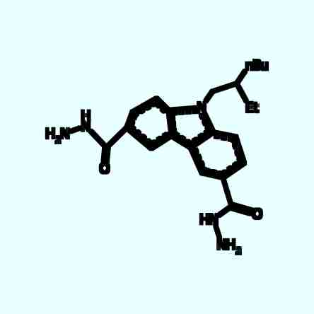 CCCCC(CC)Cn1c2ccc(C(=O)NN)cc2c2cc(C(=O)NN)ccc21